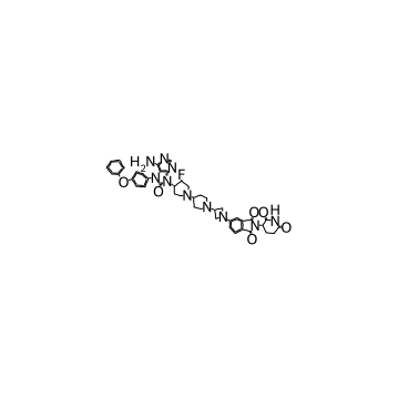 Nc1ncnc2c1n(-c1ccc(Oc3ccccc3)cc1)c(=O)n2[C@@H]1CCN(C2CCN(C3CN(c4ccc5c(c4)C(=O)N([C@@H]4CCC(=O)NC4=O)C5=O)C3)CC2)C[C@@H]1F